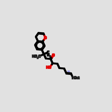 CCCCCCCC/C=C/CCCC(O)C(=O)CC(C)(C(=O)O)c1ccc2c(c1)OC=CC2